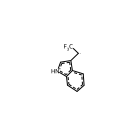 FC(F)(F)[CH]c1c[nH]c2ccccc12